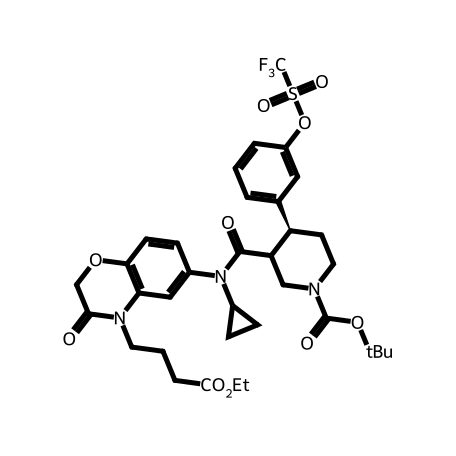 CCOC(=O)CCCN1C(=O)COc2ccc(N(C(=O)C3CN(C(=O)OC(C)(C)C)CC[C@@H]3c3cccc(OS(=O)(=O)C(F)(F)F)c3)C3CC3)cc21